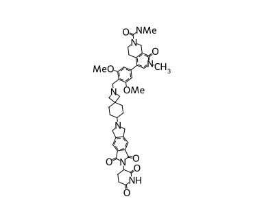 CNC(=O)N1CCc2c(-c3cc(OC)c(CN4CC5(CCC(N6Cc7cc8c(cc7C6)C(=O)N(C6CCC(=O)NC6=O)C8=O)CC5)C4)c(OC)c3)cn(C)c(=O)c2C1